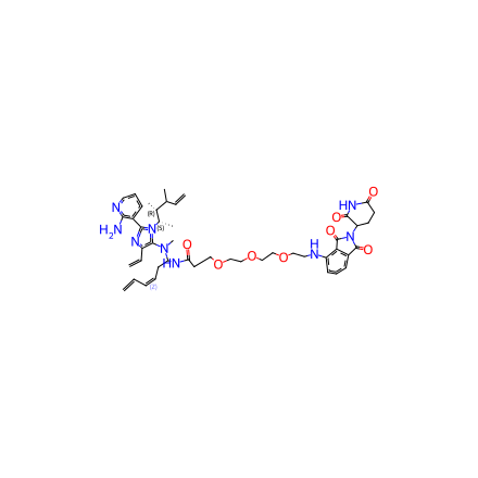 C=C/C=C\CC(NC(=O)CCOCCOCCOCCNc1cccc2c1C(=O)N(C1CCC(=O)NC1=O)C2=O)N(C)c1c(C=C)nc(-c2cccnc2N)n1[C@@H](C)[C@H](C)C(C)C=C